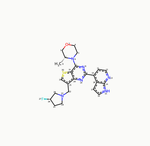 C[C@@H]1COCCN1c1nc(-c2ccnc3[nH]ccc23)nc2c(CN3CC[C@@H](F)C3)csc12